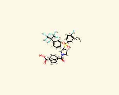 Cc1cc(S(=O)(=O)[C@@]2(c3ccc(C(F)(C(F)(F)F)C(F)(F)F)cc3)CCN(C(=O)C34CCC(C(=O)O)(CC3)CC4)C2)ccc1F